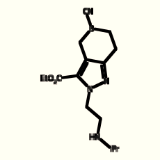 CCOC(=O)c1c2c(nn1CCNC(C)C)CCB(C#N)C2